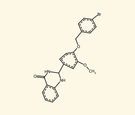 COc1cc(C2NC(=O)c3ccccc3N2)ccc1OCc1ccc(Br)cc1